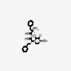 CCCCN1CCN([C@H](CCc2ccccc2)C(=N)OC(=N)[C@](C)(N)Cc2ccccc2)C(=O)C1=O